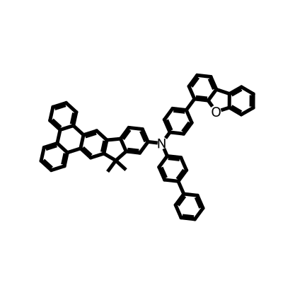 CC1(C)c2cc(N(c3ccc(-c4ccccc4)cc3)c3ccc(-c4cccc5c4oc4ccccc45)cc3)ccc2-c2cc3c4ccccc4c4ccccc4c3cc21